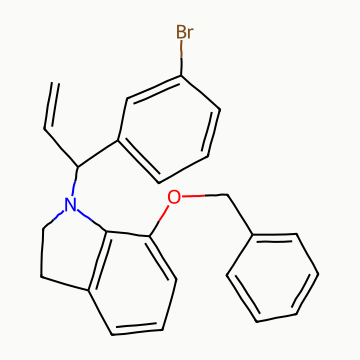 C=CC(c1cccc(Br)c1)N1CCc2cccc(OCc3ccccc3)c21